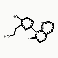 O=c1ccc2cccnc2n1-c1ccc(O)c(CCO)c1